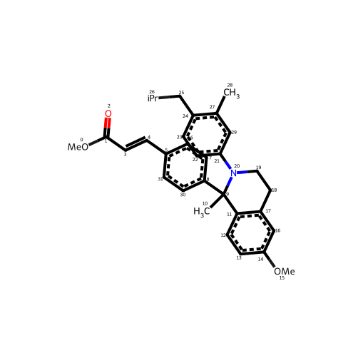 COC(=O)C=Cc1ccc(C2(C)c3ccc(OC)cc3CCN2c2ccc(CC(C)C)c(C)c2)cc1